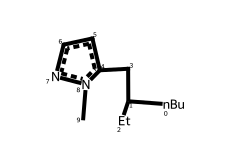 CCCCC(CC)Cc1ccnn1C